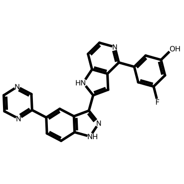 Oc1cc(F)cc(-c2nccc3[nH]c(-c4n[nH]c5ccc(-c6cnccn6)cc45)cc23)c1